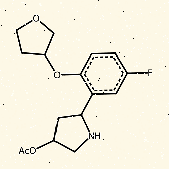 CC(=O)OC1CNC(c2cc(F)ccc2OC2CCOC2)C1